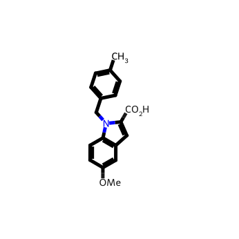 COc1ccc2c(c1)cc(C(=O)O)n2Cc1ccc(C)cc1